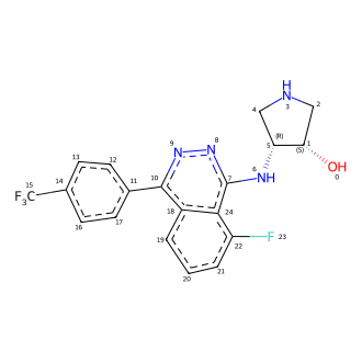 O[C@H]1CNC[C@H]1Nc1nnc(-c2ccc(C(F)(F)F)cc2)c2cccc(F)c12